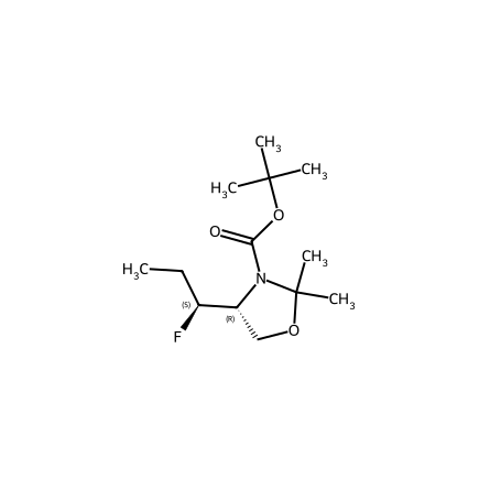 CC[C@H](F)[C@H]1COC(C)(C)N1C(=O)OC(C)(C)C